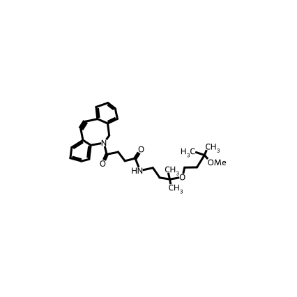 COC(C)(C)CCOC(C)(C)CCNC(=O)CCC(=O)N1Cc2ccccc2C#Cc2ccccc21